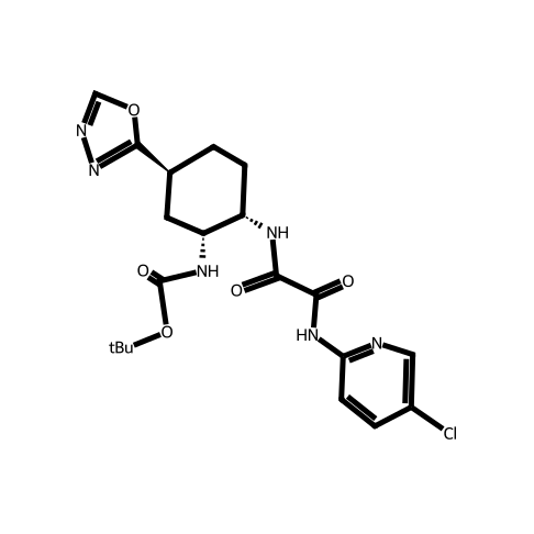 CC(C)(C)OC(=O)N[C@@H]1C[C@@H](c2nnco2)CC[C@@H]1NC(=O)C(=O)Nc1ccc(Cl)cn1